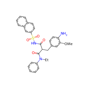 CCN(C(=O)C(Cc1ccc(N)c(OC)c1)C(=O)NS(=O)(=O)c1ccc2ccccc2c1)c1ccccc1